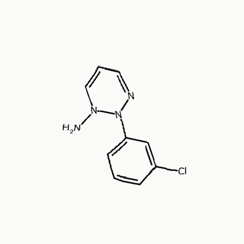 NN1C=CC=NN1c1cccc(Cl)c1